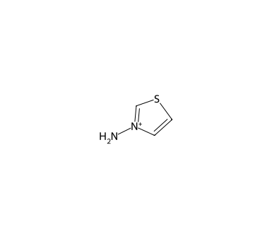 N[n+]1ccsc1